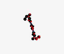 CC1(C)C2=CC(/C=C/c3ccc4c(c3)C(C)(C)c3cc(/C=C/c5ccc6c(c5)C(C)(C)c5cc(N(c7ccccc7)c7cccc(-c8ccccc8)c7)ccc5-6)ccc3-4)CC=C2c2ccc(N(c3ccccc3)c3cccc(-c4ccccc4)c3)cc21